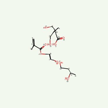 C=C(C)C(=O)OCCO.CC(CO)(CO)C(=O)O.CC(O)CCO